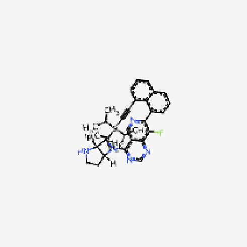 CC(C)[Si](C#Cc1cccc2cccc(-c3ncc4c(N5C[C@H]6NCC[C@H]65)ncnc4c3F)c12)(C(C)C)C(C)C